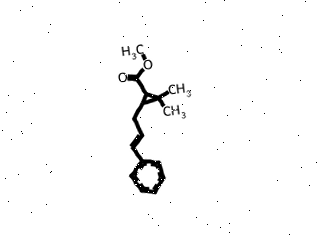 COC(=O)C1C(C/C=C/c2ccccc2)C1(C)C